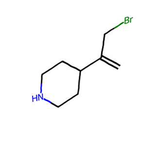 C=C(CBr)C1CCNCC1